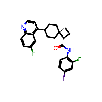 O=C(Nc1ccc(I)cc1F)[C@H]1CC[C@]12CC[C@H](c1ccnc3ccc(F)cc31)CC2